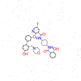 O=C(NC1CCC(NC(=O)c2cc(F)cnc2Oc2cccc(-c3ccc(O)cc3CN3CCOCC3)c2)CC1)c1ccccc1O